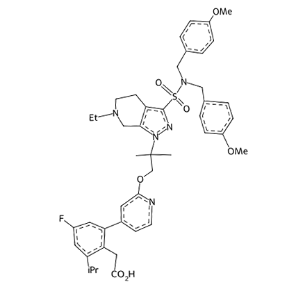 CCN1CCc2c(S(=O)(=O)N(Cc3ccc(OC)cc3)Cc3ccc(OC)cc3)nn(C(C)(C)COc3cc(-c4cc(F)cc(C(C)C)c4CC(=O)O)ccn3)c2C1